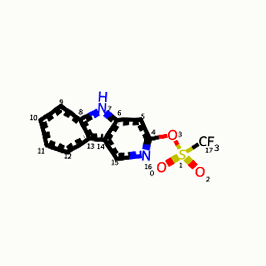 O=S(=O)(Oc1cc2[nH]c3ccccc3c2cn1)C(F)(F)F